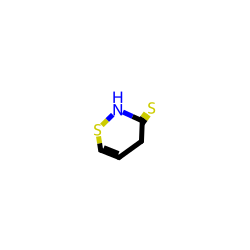 S=C1CC=CSN1